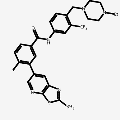 CCN1CCN(Cc2ccc(NC(=O)c3ccc(C)c(-c4cnc5sc(N)nc5c4)c3)cc2C(F)(F)F)CC1